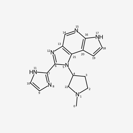 CN1CCC(n2c(-c3ncc[nH]3)nc3cnc4[nH]ccc4c32)C1